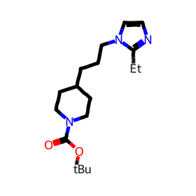 CCc1nccn1CCCC1CCN(C(=O)OC(C)(C)C)CC1